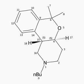 CCCCN1CC[C@@H]2OC(C)(C)c3ccccc3[C@H]2C1